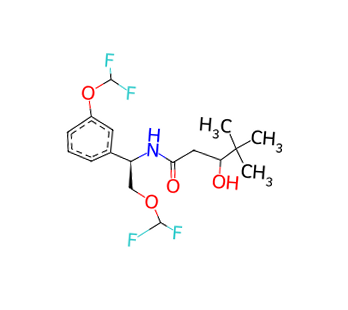 CC(C)(C)C(O)CC(=O)N[C@@H](COC(F)F)c1cccc(OC(F)F)c1